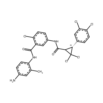 Cc1cc(N)ccc1NC(=O)c1cc(NC(=O)C2[C@H](c3ccc(Cl)c(Cl)c3)C2(Cl)Cl)ccc1Cl